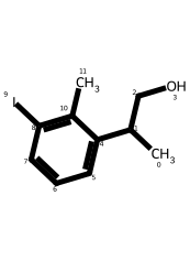 C[C](CO)c1cccc(I)c1C